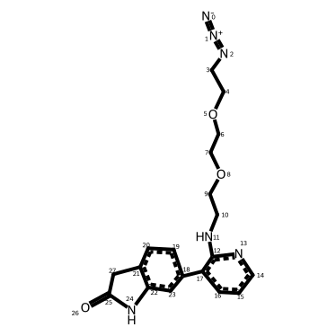 [N-]=[N+]=NCCOCCOCCNc1ncccc1-c1ccc2c(c1)NC(=O)C2